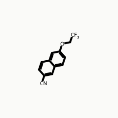 N#Cc1ccc2cc(OCC(F)(F)F)ccc2c1